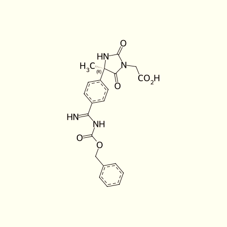 C[C@]1(c2ccc(C(=N)NC(=O)OCc3ccccc3)cc2)NC(=O)N(CC(=O)O)C1=O